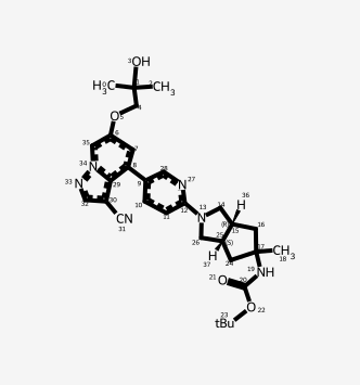 CC(C)(O)COc1cc(-c2ccc(N3C[C@@H]4CC(C)(NC(=O)OC(C)(C)C)C[C@@H]4C3)nc2)c2c(C#N)cnn2c1